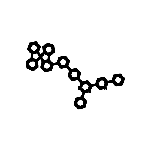 c1ccc(-c2ccc(-c3cc(-c4ccc(-c5cccc(-c6cccc7c6-c6ccccc6C76c7ccccc7-c7ccccc76)c5)cc4)nc(-c4ccccc4)n3)cn2)cc1